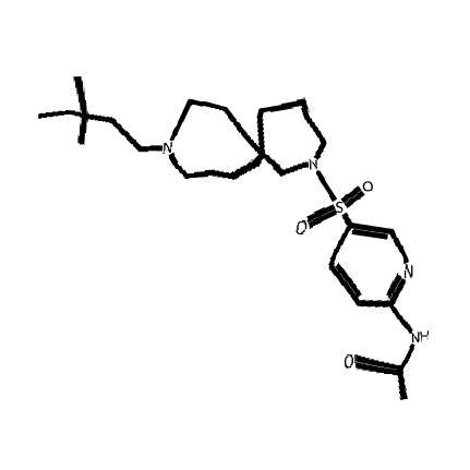 CC(=O)Nc1ccc(S(=O)(=O)N2CCCC3(CCN(CCC(C)(C)C)CC3)C2)cn1